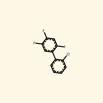 Fc1cc(F)c(-c2ccc[c]c2Cl)cc1F